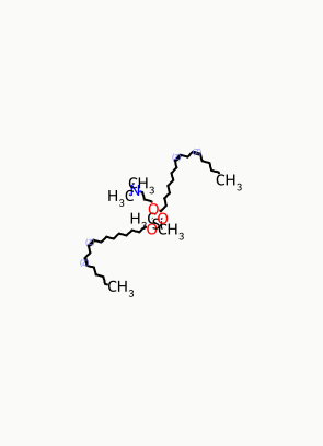 CCCCC/C=C\C/C=C\CCCCCCCCO[Si](C)(C)OC(CCCCCCC/C=C\C/C=C\CCCCC)OCCCN(C)C